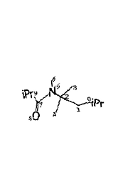 CC(C)CC(C)(C)N(C)C(=O)C(C)C